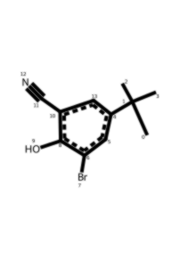 CC(C)(C)c1cc(Br)c(O)c(C#N)c1